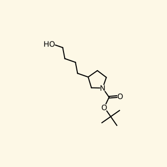 CC(C)(C)OC(=O)N1CCC(CCCCO)C1